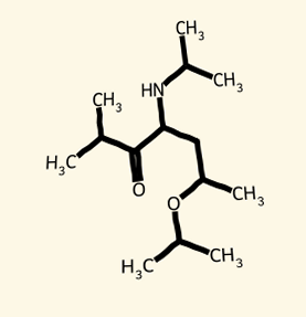 CC(C)NC(CC(C)OC(C)C)C(=O)C(C)C